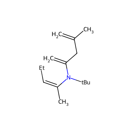 C=C(C)CC(=C)N(/C(C)=C\CC)C(C)(C)C